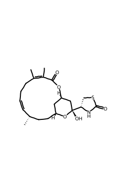 C/C1=C(\C)C(=O)O[C@@H]2C[C@@H](CC[C@H](C)/C=C\CC1)O[C@@](O)([C@@H]1CSC(=O)N1)C2